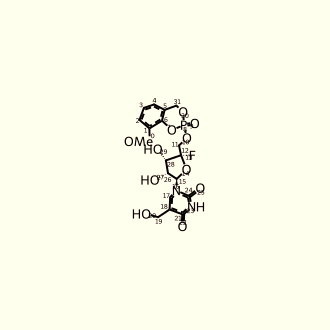 COc1cccc2c1OP(=O)(OC[C@@]1(F)O[C@@H](n3cc(CO)c(=O)[nH]c3=O)[C@H](O)[C@@H]1O)OC2